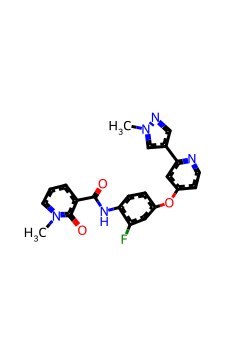 Cn1cc(-c2cc(Oc3ccc(NC(=O)c4cccn(C)c4=O)c(F)c3)ccn2)cn1